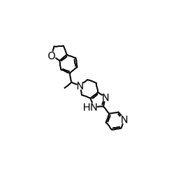 CC(c1ccc2c(c1)OCC2)N1CCc2nc(-c3cccnc3)[nH]c2C1